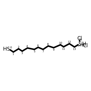 SCCCCCCCCCCCCC[SiH](Cl)Cl